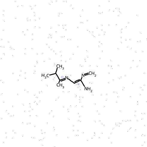 C=N/C(N)=C\N=C(/C)C(C)C